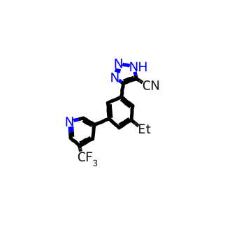 CCc1cc(-c2cncc(C(F)(F)F)c2)cc(-c2nn[nH]c2C#N)c1